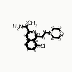 CC(N)c1cc2cccc(Cl)c2c(CCN2CCOCC2)n1